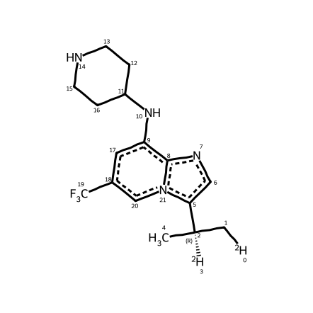 [2H]C[C@@]([2H])(C)c1cnc2c(NC3CCNCC3)cc(C(F)(F)F)cn12